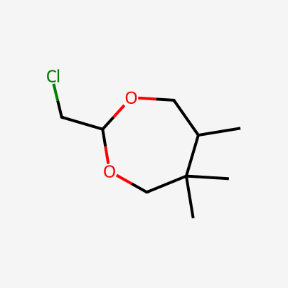 CC1COC(CCl)OCC1(C)C